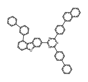 c1ccc(-c2ccc(-c3nc(-c4ccc(-c5ccc6ccccc6c5)cc4)nc(-c4ccc5c(c4)oc4cccc(-c6cccc(-c7ccccc7)c6)c45)n3)cc2)cc1